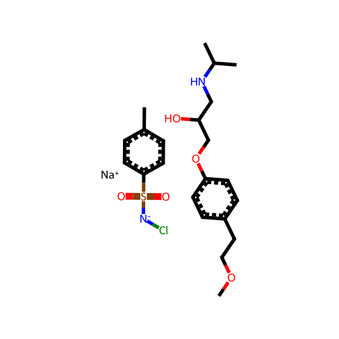 COCCc1ccc(OCC(O)CNC(C)C)cc1.Cc1ccc(S(=O)(=O)[N-]Cl)cc1.[Na+]